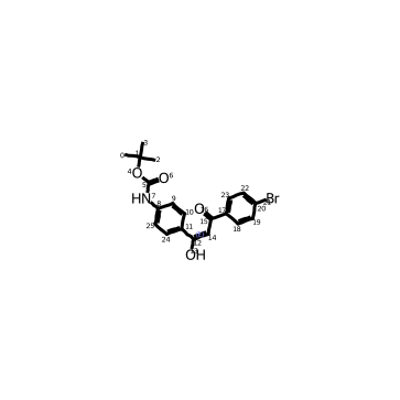 CC(C)(C)OC(=O)Nc1ccc(/C(O)=C\C(=O)c2ccc(Br)cc2)cc1